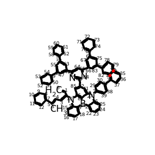 C=C/C(=C\C=C(/C)c1ccccc1)N1c2ccccc2B2c3ccccc3N(c3ccc(-c4ccccc4)cc3)c3cc(-c4nc(-c5cc(-c6ccccc6)cc(-c6ccccc6)c5)cc(-c5cc(-c6ccccc6)cc(-c6ccccc6)c5)n4)cc1c32